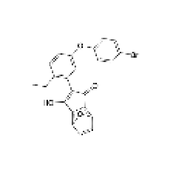 CCc1ccc(Oc2ccc(Br)cc2)cc1C1=C(O)c2c(c3ccc2o3)C1=O